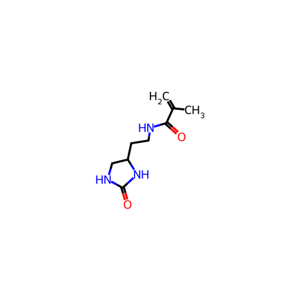 C=C(C)C(=O)NCCC1CNC(=O)N1